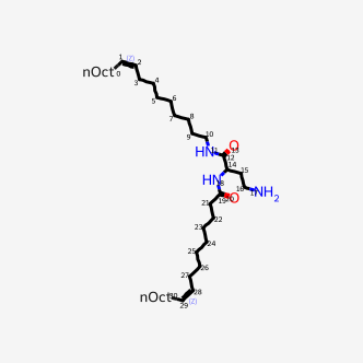 CCCCCCCC/C=C\CCCCCCCCNC(=O)C(CCN)NC(=O)CCCCCCC/C=C\CCCCCCCC